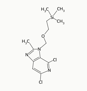 Cc1nc2cc(Cl)nc(Cl)c2n1COCC[Si](C)(C)C